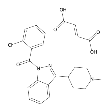 CN1CCC(c2nn(C(=O)c3ccccc3Cl)c3ccccc23)CC1.O=C(O)/C=C/C(=O)O